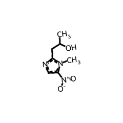 CC(O)Cc1ncc([N+](=O)[O-])n1C